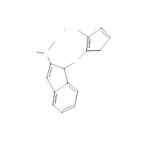 CCCC(C)C1=[C]([Zr+2][CH]2C(P(C(C)(C)C)C(C)(C)C)=Cc3ccccc32)CC=C1.[Cl-].[Cl-]